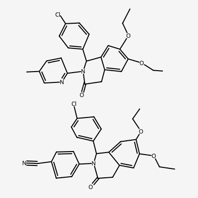 CCOc1cc2c(cc1OCC)C(c1ccc(Cl)cc1)N(c1ccc(C#N)cc1)C(=O)C2.CCOc1cc2c(cc1OCC)C(c1ccc(Cl)cc1)N(c1ccc(C)cn1)C(=O)C2